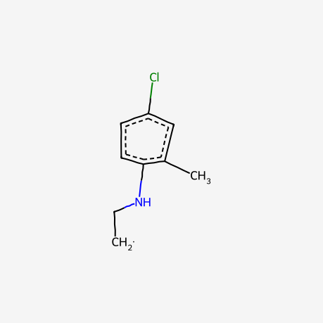 [CH2]CNc1ccc(Cl)cc1C